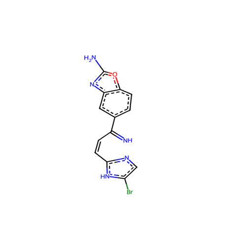 N=C(/C=C\c1ncc(Br)[nH]1)c1ccc2oc(N)nc2c1